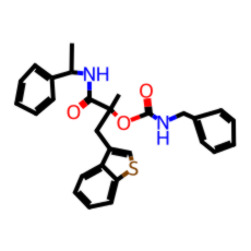 CC(NC(=O)C(C)(Cc1csc2ccccc12)OC(=O)NCc1ccccc1)c1ccccc1